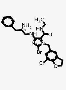 CCNC(=O)c1c(NC[C@H](N)Cc2ccccc2)nc(Br)n1Cc1cc(Cl)c2c(c1)CCO2